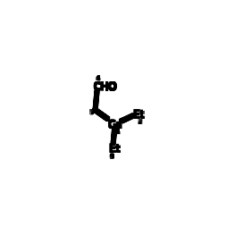 C[CH2][Ga]([CH2]C)[CH2]C=O